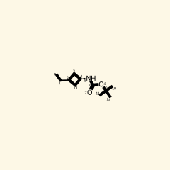 CC[C@H]1C[C@H](NC(=O)OC(C)(C)C)C1